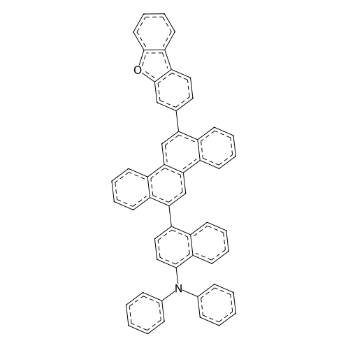 c1ccc(N(c2ccccc2)c2ccc(-c3cc4c5ccccc5c(-c5ccc6c(c5)oc5ccccc56)cc4c4ccccc34)c3ccccc23)cc1